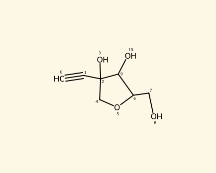 C#CC1(O)COC(CO)C1O